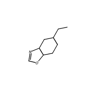 CCC1CCC2OC=NC2C1